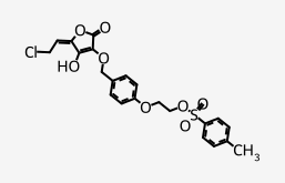 Cc1ccc(S(=O)(=O)OCCOc2ccc(COC3=C(O)/C(=C\CCl)OC3=O)cc2)cc1